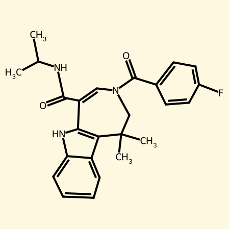 CC(C)NC(=O)C1=CN(C(=O)c2ccc(F)cc2)CC(C)(C)c2c1[nH]c1ccccc21